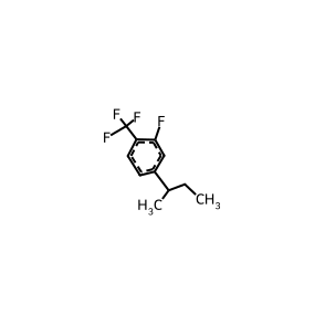 CCC(C)c1ccc(C(F)(F)F)c(F)c1